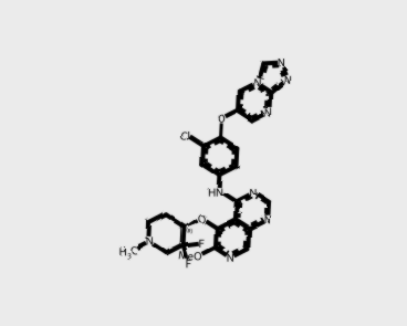 COc1ncc2ncnc(Nc3ccc(Oc4cnc5nncn5c4)c(Cl)c3)c2c1O[C@@H]1CCN(C)CC1(F)F